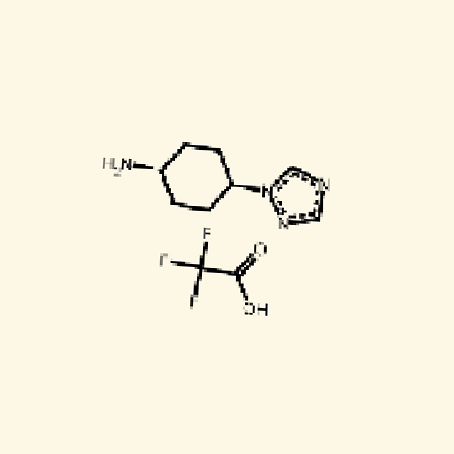 N[C@H]1CC[C@@H](n2cncn2)CC1.O=C(O)C(F)(F)F